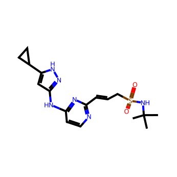 CC(C)(C)NS(=O)(=O)CC=Cc1nccc(Nc2cc(C3CC3)[nH]n2)n1